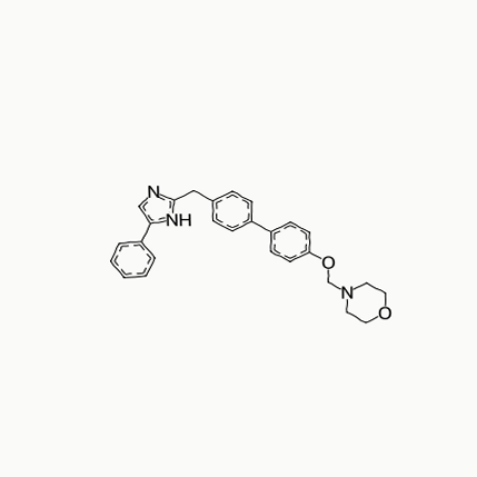 c1ccc(-c2cnc(Cc3ccc(-c4ccc(OCN5CCOCC5)cc4)cc3)[nH]2)cc1